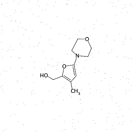 Cc1cc(N2CCOCC2)oc1CO